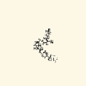 CC(C)c1ccc(CC(=O)Nc2ccn(Cc3ccc(C#N)c(OCC(F)(F)F)n3)n2)cc1